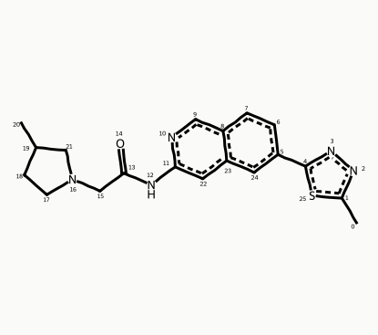 Cc1nnc(-c2ccc3cnc(NC(=O)CN4CCC(C)C4)cc3c2)s1